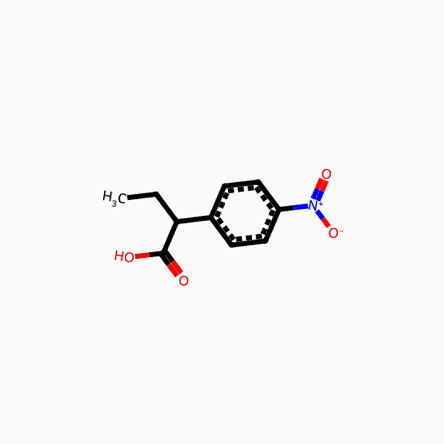 CCC(C(=O)O)c1ccc([N+](=O)[O-])cc1